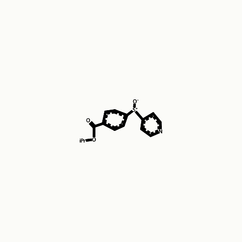 CC(C)OC(=O)c1ccc([S+]([O-])c2ccncc2)cc1